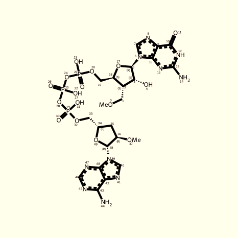 COC[C@H]1[C@@H](O)[C@H](n2cnc3c(=O)[nH]c(N)nc32)O[C@@H]1COP(=O)(O)OP(=O)(O)OP(=O)(O)OC[C@@H]1C[C@@H](OC)[C@H](n2cnc3c(N)ncnc32)O1